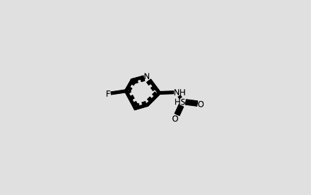 O=[SH](=O)Nc1ccc(F)cn1